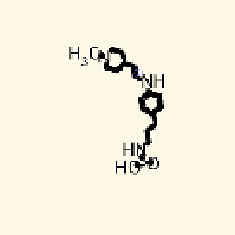 CN1CCC(/C=C/Nc2ccc(CCCNS(=O)O)cc2)CC1